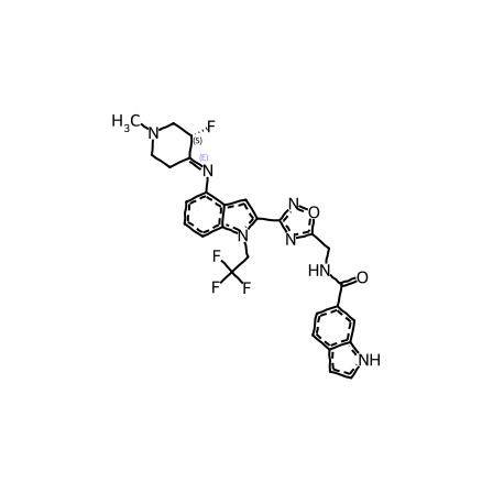 CN1CC/C(=N\c2cccc3c2cc(-c2noc(CNC(=O)c4ccc5cc[nH]c5c4)n2)n3CC(F)(F)F)[C@@H](F)C1